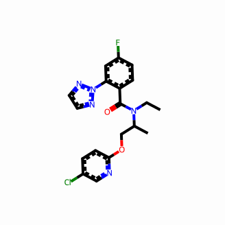 CCN(C(=O)c1ccc(F)cc1-n1nccn1)C(C)COc1ccc(Cl)cn1